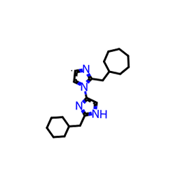 [c]1cn(-c2c[nH]c(CC3CCCCC3)n2)c(CC2CCCCCC2)n1